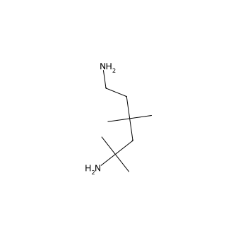 CC(C)(N)CC(C)(C)CCN